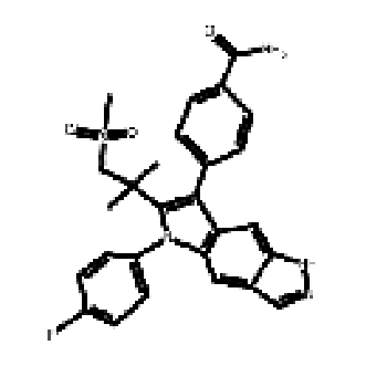 CC(C)(CS(C)(=O)=O)c1c(-c2ccc(C(N)=O)cc2)c2cc3[nH]ncc3cc2n1-c1ccc(F)cc1